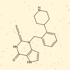 O=C1NC(=C=S)N(Cc2ccccc2C2CCNCC2)c2cc[nH]c21